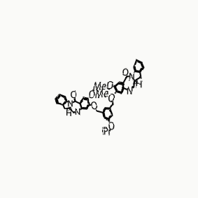 COc1cc2c(cc1OCc1cc(COc3cc4c(cc3OC)C(=O)N3c5ccccc5C[C@H]3C=N4)cc(OC(C)C)c1)N=C[C@@H]1Cc3ccccc3N1C2=O